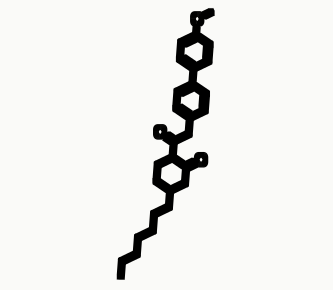 CCCCCCCC1CCC(C(=O)Cc2ccc(-c3ccc(OC)cc3)cc2)C(=O)C1